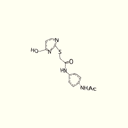 CC(=O)Nc1ccc(NC(=O)CSc2nccc(O)n2)cc1